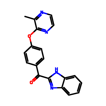 Cc1nccnc1Oc1ccc(C(=O)c2nc3ccccc3[nH]2)cc1